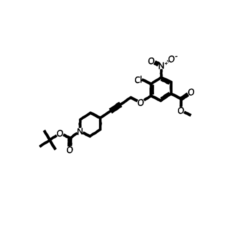 COC(=O)c1cc(OCC#CC2CCN(C(=O)OC(C)(C)C)CC2)c(Cl)c([N+](=O)[O-])c1